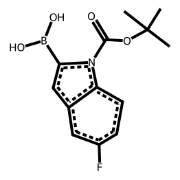 CC(C)(C)OC(=O)n1c(B(O)O)cc2cc(F)ccc21